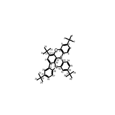 CC(C)(C)c1ccc2c(c1)Oc1c(C(C)(C)C)cc3c4cc(C(C)(C)C)ccc4n4c3c1B2c1ccc(C(C)(C)C)cc1-4